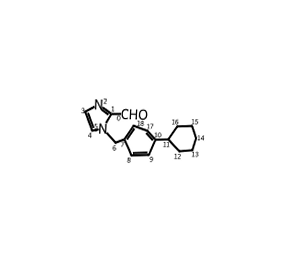 O=Cc1nc[c]n1Cc1ccc(C2CCCCC2)cc1